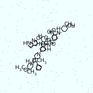 CO[C@]1(C)CCN(C2CC3(CCN(c4ccc(C(=O)NS(=O)(=O)c5ccc(NC[C@H]6CC[C@](C)(O)CC6)c([N+](=O)[O-])c5)c(N5c6cc7cc[nH]c7nc6O[C@H]6COCC[C@@H]65)c4)CC3)C2)[C@H](c2ccccc2C(C)C)C1